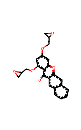 O=c1c2cc3ccccc3cc2oc2cc(OCC3CO3)cc(OCC3CO3)c12